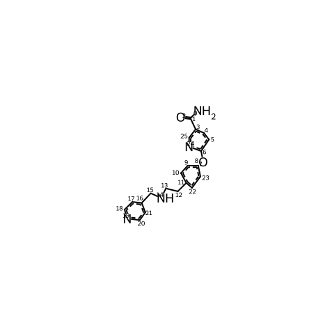 NC(=O)c1ccc(Oc2ccc(CCNCc3ccncc3)cc2)nc1